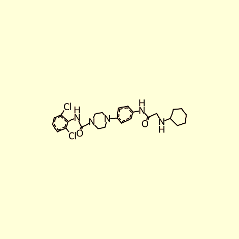 O=C(CNC1CCCCC1)Nc1ccc(N2CCN(C(=O)Nc3c(Cl)cccc3Cl)CC2)cc1